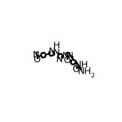 CN(C)C(=O)c1ccc(-c2ccc(Nc3cncc(N4CCN(Cc5cccc(NC(=O)CN)c5)C4=O)c3)nc2)cc1